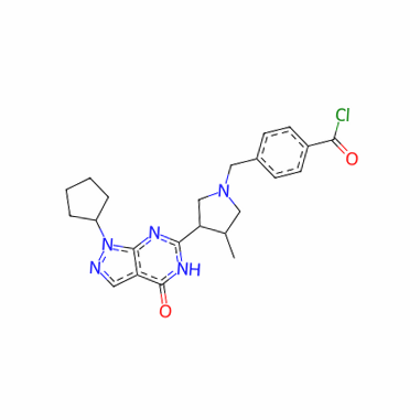 CC1CN(Cc2ccc(C(=O)Cl)cc2)CC1c1nc2c(cnn2C2CCCC2)c(=O)[nH]1